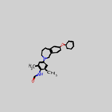 Cc1cc(N2CCCc3cc(OC4CCCCC4)ccc3C2)cc(C)c1NC=O